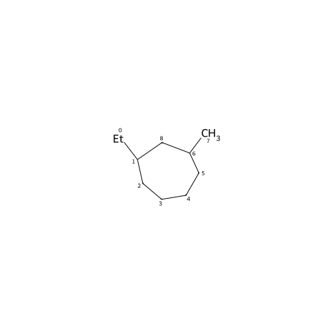 CCC1CCCCC(C)C1